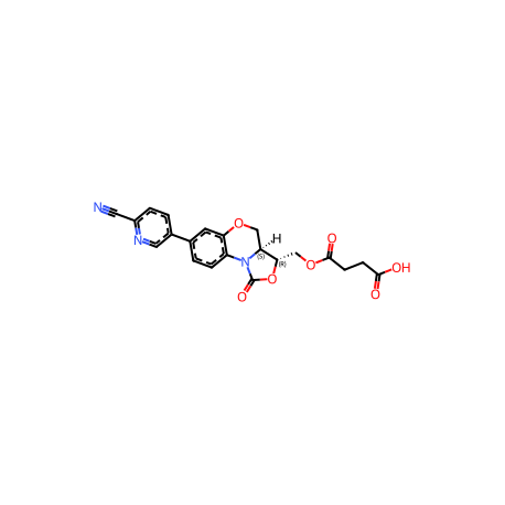 N#Cc1ccc(-c2ccc3c(c2)OC[C@H]2[C@H](COC(=O)CCC(=O)O)OC(=O)N32)cn1